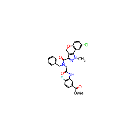 COC(=O)c1ccc(F)c(NC(=O)CN(Cc2ccccc2)C(=O)c2nn(C)c3c2COc2ccc(Cl)cc2-3)c1